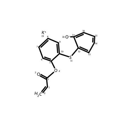 C=CC(=O)Oc1ccccc1Sc1ccccc1[O-].[K+]